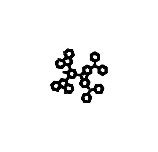 Cc1c(-c2cc3cccnc3c3ncccc23)cc(-n2c3ccc(N(c4ccccc4)c4ccccc4)cc3c3cc(N(c4ccccc4)c4ccccc4)ccc32)cc1-c1cc2cccnc2c2ncccc12